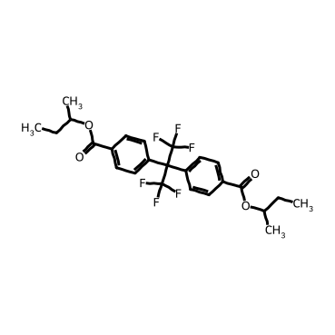 CCC(C)OC(=O)c1ccc(C(c2ccc(C(=O)OC(C)CC)cc2)(C(F)(F)F)C(F)(F)F)cc1